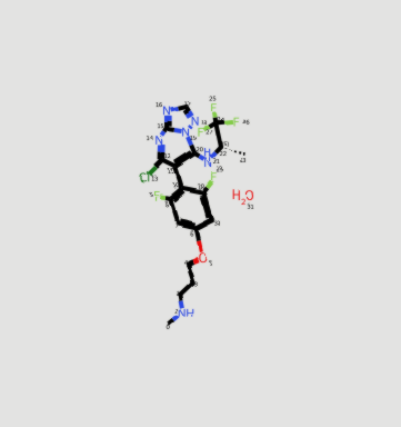 CNCCCOc1cc(F)c(-c2c(Cl)nc3ncnn3c2N[C@@H](C)C(F)(F)F)c(F)c1.O